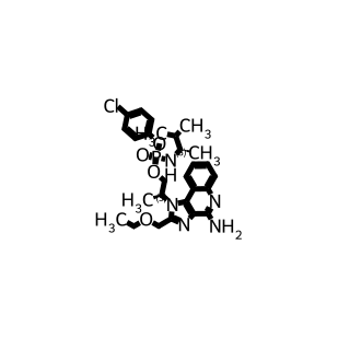 CCOCc1nc2c(N)nc3ccccc3c2n1[C@@H](C)COP(=O)(N[C@@H](C)C(C)C)Oc1ccc(Cl)cc1